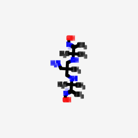 C/C(=N\O)C(C)(C)NCC(C)(CN)CNC(C)(C)/C(C)=N/O